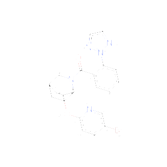 O=C(c1ccccc1-n1nccn1)N1CC2CCC1C(Oc1ccc(Br)cn1)C2